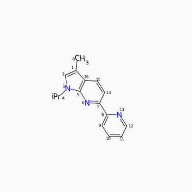 Cc1cn(C(C)C)c2nc(-c3ccccn3)ccc12